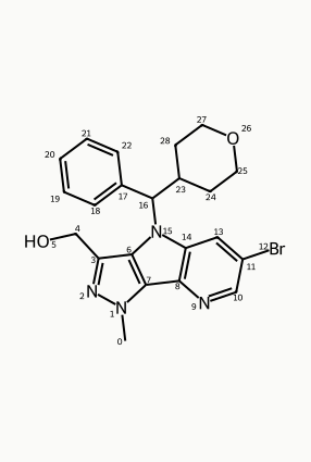 Cn1nc(CO)c2c1c1ncc(Br)cc1n2C(c1ccccc1)C1CCOCC1